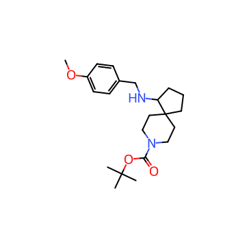 COc1ccc(CNC2CCCC23CCN(C(=O)OC(C)(C)C)CC3)cc1